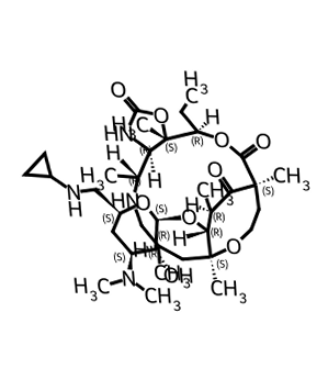 CC[C@H]1OC(=O)[C@@]2(C)CCO[C@@](C)(C[C@@H](C)CN[C@H](C)[C@H]3NC(=O)O[C@@]31C)[C@H](O[C@@H]1O[C@H](CNC3CC3)C[C@H](N(C)C)[C@H]1O)[C@@H](C)C2=O